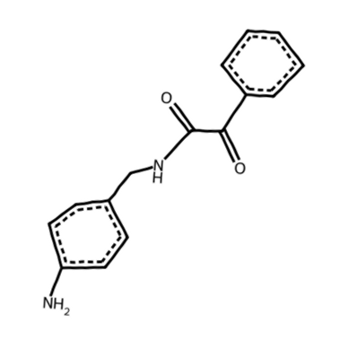 Nc1ccc(CNC(=O)C(=O)c2ccccc2)cc1